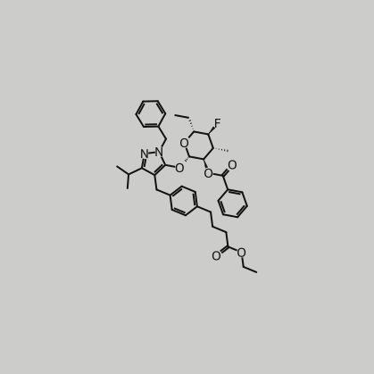 CCOC(=O)CCCc1ccc(Cc2c(C(C)C)nn(Cc3ccccc3)c2O[C@@H]2O[C@H](CC)[C@@H](F)[C@H](C)[C@H]2OC(=O)c2ccccc2)cc1